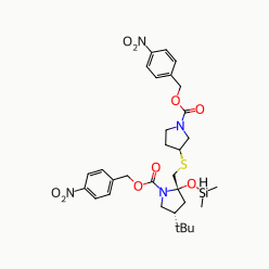 C[SiH](C)O[C@]1(CS[C@H]2CCN(C(=O)OCc3ccc([N+](=O)[O-])cc3)C2)C[C@H](C(C)(C)C)CN1C(=O)OCc1ccc([N+](=O)[O-])cc1